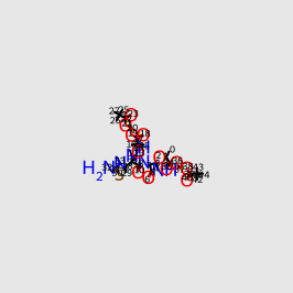 CC(O[C@@H]1NC(=O)[C@H]1NC(=O)/C(=N\OC(C)(C)C(=O)OCOC(=O)C(C)(C)C)c1csc(N)n1)C(=O)OCOC(=O)C(C)(C)C